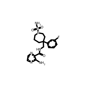 Nc1nccnc1C(=O)NCC1(c2cccc(F)c2)CCCN(S(N)(=O)=O)CC1